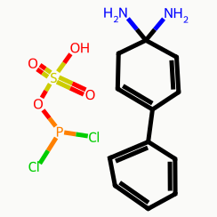 NC1(N)C=CC(c2ccccc2)=CC1.O=S(=O)(O)OP(Cl)Cl